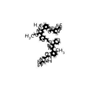 CCOc1nnc(-c2cc(NC(=O)c3ccnc(C(F)(F)F)c3)ccc2C)cc1C1CCOC(CCOc2nnc(-c3cc(NC(=O)c4cnc(C(F)(F)F)cn4)ccc3C)cc2C2CCOCC2)C1